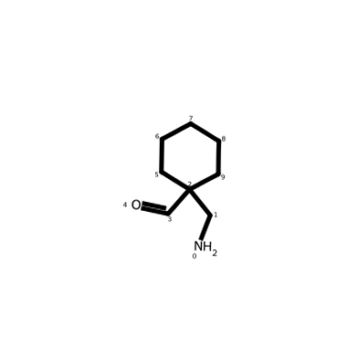 NCC1(C=O)CCCCC1